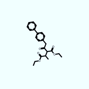 CCOC(=O)C(C)C(C(=O)Cc1ccc(-c2ccccc2)cc1)C(=O)OCC